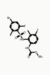 Cc1cc(Br)cc(F)c1S(=O)(=O)Nc1c(NC(=O)OC(C)(C)C)ccc(F)c1C